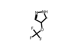 FC(F)(F)OC1[C]NN=C1